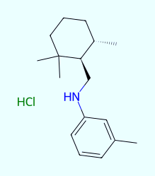 Cc1cccc(NC[C@@H]2[C@@H](C)CCCC2(C)C)c1.Cl